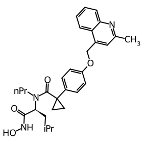 CCCN(C(=O)C1(c2ccc(OCc3cc(C)nc4ccccc34)cc2)CC1)[C@@H](CC(C)C)C(=O)NO